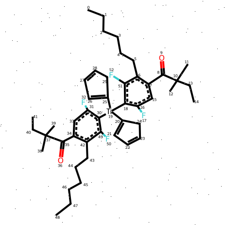 CCCCCCc1c(C(=O)C(C)(C)CC)cc(F)[c]([Ti]([C]2=CC=CC2)([C]2=CC=CC2)[c]2c(F)cc(C(=O)C(C)(C)CC)c(CCCCCC)c2F)c1F